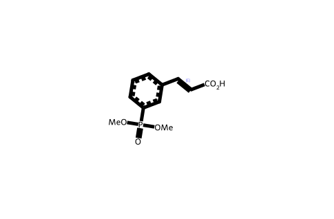 COP(=O)(OC)c1cccc(/C=C/C(=O)O)c1